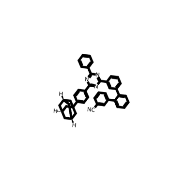 N#Cc1cccc(-c2ccccc2-c2cccc(-c3nc(-c4ccccc4)nc(-c4ccc(C56C[C@H]7C[C@@H](C5)C[C@@H](C6)C7)cc4)n3)c2)c1